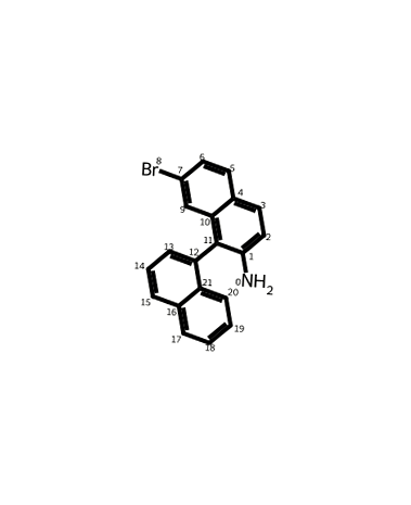 Nc1ccc2ccc(Br)cc2c1-c1cccc2ccccc12